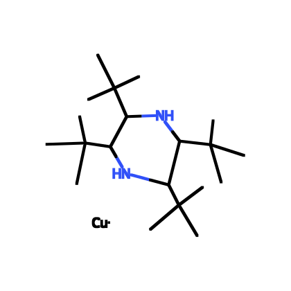 CC(C)(C)C1NC(C(C)(C)C)C(C(C)(C)C)NC1C(C)(C)C.[Cu]